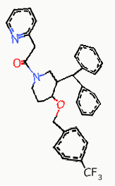 O=C(Cc1ccccn1)N1CCC(OCc2ccc(C(F)(F)F)cc2)C(C(c2ccccc2)c2ccccc2)C1